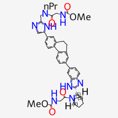 CCCN(Cc1ncc(-c2ccc3c(c2)CCc2cc(-c4ccc5nc([C@@H]6[C@H]7CC[C@H](C7)N6C(=O)CNC(=O)OC)[nH]c5c4)ccc2-3)[nH]1)C(=O)CNC(=O)OC